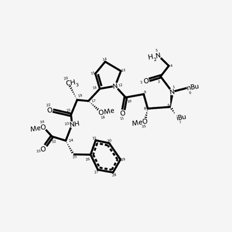 CCCCN(C(=O)CN)[C@@H]([C@@H](C)CC)[C@@H](CC(=O)N1CCC=C1[C@H](OC)[C@@H](C)C(=O)N[C@H](Cc1ccccc1)C(=O)OC)OC